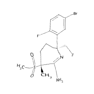 C[C@@]1(S(C)(=O)=O)CC[C@@](CF)(c2cc(Br)ccc2F)N=C1N